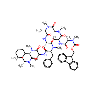 CC(C)C[C@H](NC(=O)[C@H](C)N(C)C(=O)OCC1c2ccccc2-c2ccccc21)C(=O)N(C)CC(=O)N(C)[C@@H](C)C(=O)N[C@@H](CC(C)C)C(=O)N(C)[C@@H](Cc1ccccc1)C(=O)N[C@@H](C)C(=O)N(C)[C@H](C(=O)N(C)[C@H](C)CC(=O)O)C1CCCCC1